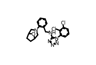 Clc1cccc(-n2nnnc2NCc2ccccc2N2CC3CCC(C2)O3)c1Cl